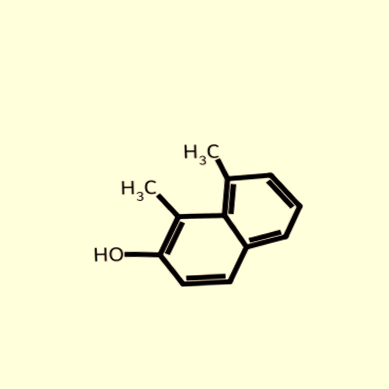 Cc1cccc2ccc(O)c(C)c12